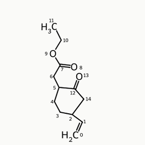 C=CC1CCC(CC(=O)OCC)C(=O)C1